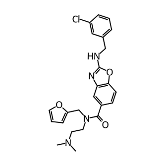 CN(C)CCN(Cc1ccco1)C(=O)c1ccc2oc(NCc3cccc(Cl)c3)nc2c1